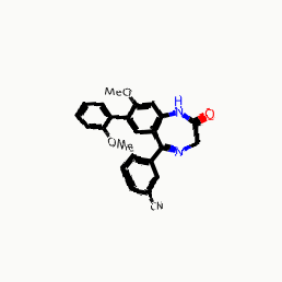 COc1ccccc1-c1cc2c(cc1OC)NC(=O)CN=C2c1cccc(C#N)c1